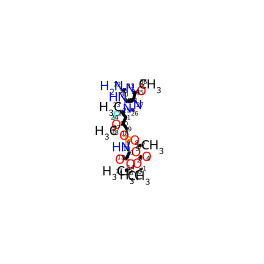 CCOC(=O)OC(C)OP(NCC(=O)OC(C)C)OCC(CC(C)(F)n1cnc2c1NC(N)N=C2OC)OC